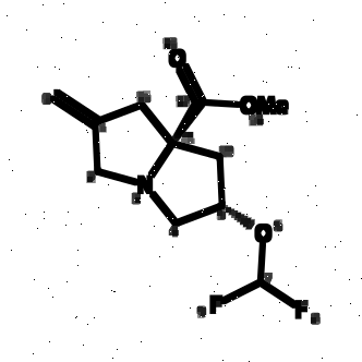 C=C1CN2C[C@@H](OC(F)F)C[C@@]2(C(=O)OC)C1